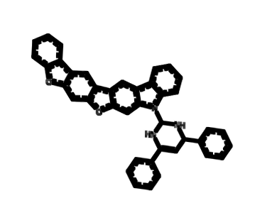 C1=C(c2ccccc2)NC(n2c3ccccc3c3cc4c(cc32)oc2cc3oc5ccccc5c3cc24)NC1c1ccccc1